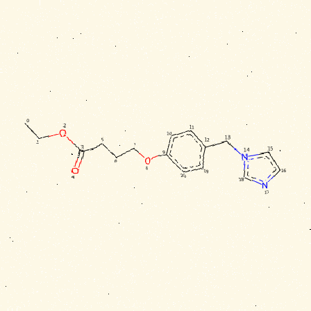 CCOC(=O)CCCOc1ccc(Cn2ccnc2)cc1